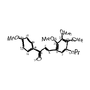 CCCc1cc(C=CC(=O)c2ccc(OC)cc2)c(OC)c(OC)c1OC